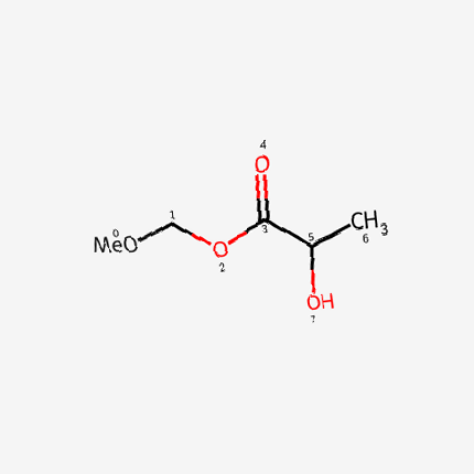 COCOC(=O)C(C)O